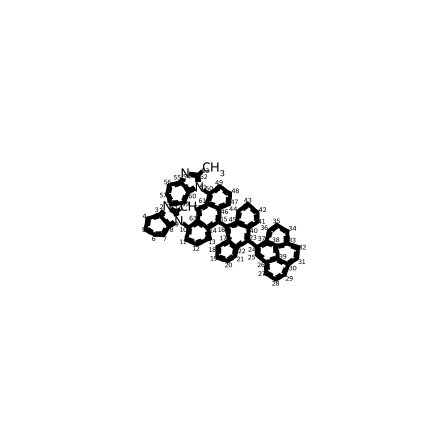 Cc1nc2ccccc2n1-c1cccc2c(-c3c4ccccc4c(-c4cc5cccc6ccc7cccc4c7c65)c4ccccc34)c3cccc(-n4c(C)nc5ccccc54)c3cc12